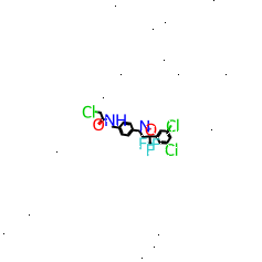 O=C(CCl)NCc1ccc(C2=NOC(c3cc(Cl)cc(Cl)c3)(C(F)(F)F)C2)cc1